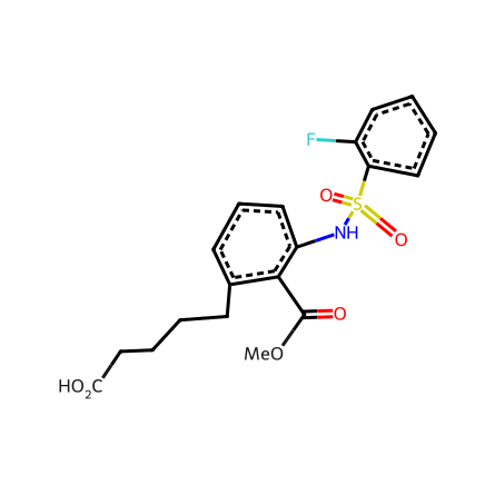 COC(=O)c1c(CCCCC(=O)O)cccc1NS(=O)(=O)c1ccccc1F